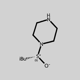 CCC(C)[S@@+]([O-])N1CCNCC1